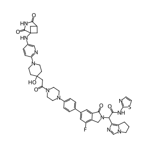 O=C1NC(=O)C2(Nc3ccc(N4CCC(O)(CC(=O)N5CCN(c6ccc(-c7cc(F)c8c(c7)C(=O)N(C(C(=O)Nc7nccs7)c7ncn9c7CCC9)C8)cc6)CC5)CC4)nc3)CC1C2